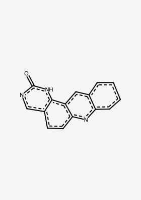 O=c1ncc2ccc3nc4ccccc4cc3c2[nH]1